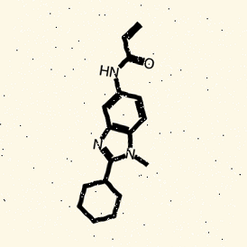 C=CC(=O)Nc1ccc2c(c1)nc(C1CCCCC1)n2C